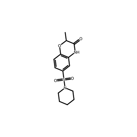 CC1Oc2ccc(S(=O)(=O)N3CCCCC3)cc2NC1=O